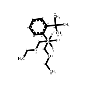 CCOCS(F)(F)(F)(COCC)c1ccccc1C(C)(C)C